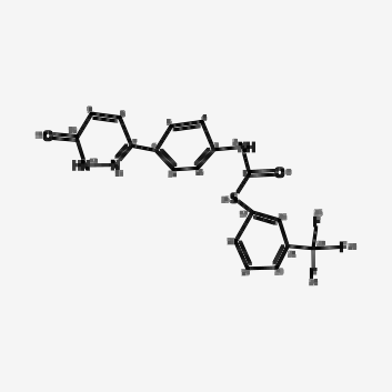 O=C(Nc1ccc(-c2ccc(=O)[nH]n2)cc1)Sc1cccc(C(F)(F)F)c1